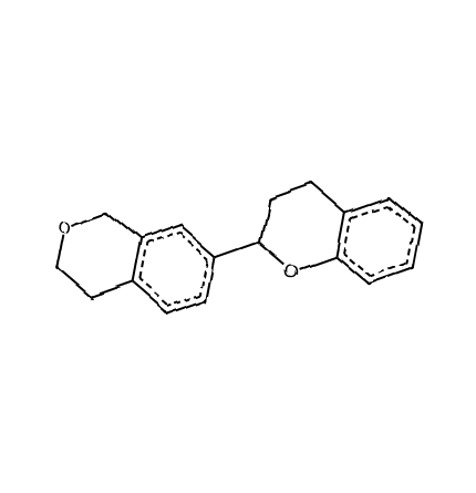 c1ccc2c(c1)CCC(c1ccc3c(c1)COCC3)O2